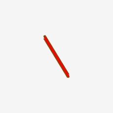 S=S=S=S=S=S=S=S=S=S=S=S=S=S=S=S=S=S=S=S=S=S=S=S=S=S=S=S=S=S=S=S=S=S=S=S=S=S=S=S=S=S=S=S=S=S=S=S=S=S=S=S=S=S=S=S=S=S=S=S=S=S=S=S=S=S=S=S=S=S=S=S=S=S=S=S=S=S=S=S=S=S=S=S=S=S=S=S=S=S=S=S=S=S=S=S=S=S=S=S=S=S=S=S=S=S=S=S=S=S=S=S=S=S=S=S=S=S=S=S=S=S=S=S=S=S=S=S=S=S=S=S=S=S=S=S=S=S=S=S=S=S=S=S=S=S=S